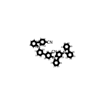 N#Cc1ccc2c3ccccc3n(-c3cccc(-c4ccc(-n5c6ccccc6c6cc(-n7c8ccccc8c8ccccc87)ccc65)c(C#N)c4)c3)c2c1